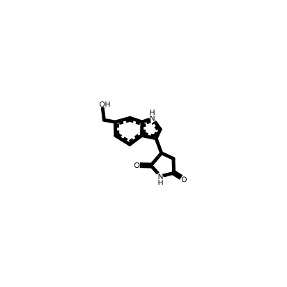 O=C1CC(c2c[nH]c3cc(CO)ccc23)C(=O)N1